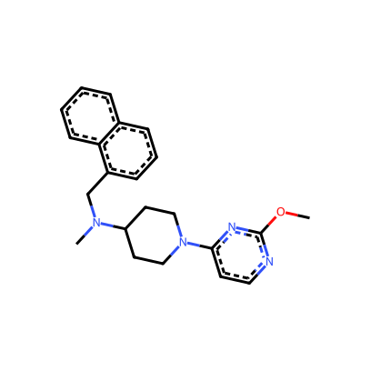 COc1nccc(N2CCC(N(C)Cc3cccc4ccccc34)CC2)n1